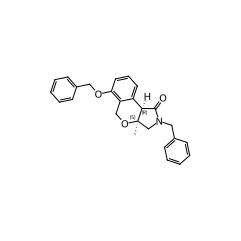 C[C@@]12CN(Cc3ccccc3)C(=O)[C@@H]1c1cccc(OCc3ccccc3)c1CO2